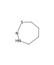 C1CCS[N]NC1